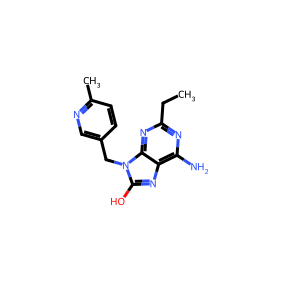 CCc1nc(N)c2nc(O)n(Cc3ccc(C)nc3)c2n1